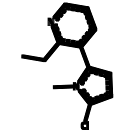 CCc1ncccc1-c1ccc(Cl)n1C